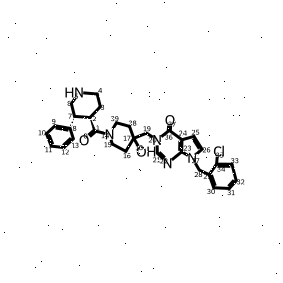 O=C([C@@H]1CCNC[C@H]1c1ccccc1)N1CCC(O)(Cn2cnc3c(ccn3Cc3ccccc3Cl)c2=O)CC1